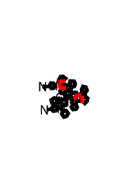 N#Cc1ccc(N(c2ccccc2)c2ccc3c(c2)N(c2ccccc2-c2ccccc2)c2cc(-n4c5ccccc5c5ccccc54)cc4c2B3c2c(cc(N(c3ccccc3)c3ccc(C#N)cc3)c3c2oc2ccccc23)N4c2ccccc2-c2ccccc2)cc1